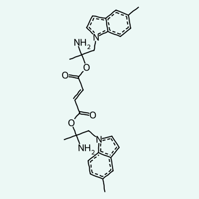 Cc1ccc2c(ccn2CC(C)(N)OC(=O)/C=C/C(=O)OC(C)(N)Cn2ccc3cc(C)ccc32)c1